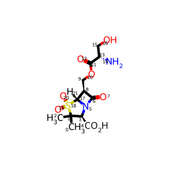 CC1(C)[C@H](C(=O)O)N2C(=O)[C@H](COC(=O)[C@@H](N)CO)[C@H]2S1(=O)=O